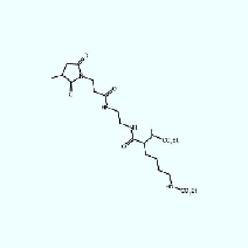 CCOC(=O)NCCCCC(NC(=O)OCC)C(=O)NCCNC(=O)CCN1C(=O)CC(C)C1=O